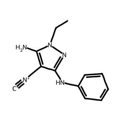 [C-]#[N+]c1c(Nc2ccccc2)nn(CC)c1N